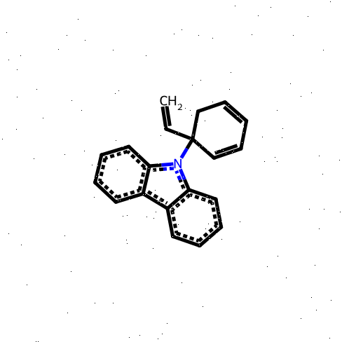 C=CC1(n2c3ccccc3c3ccccc32)C=CC=CC1